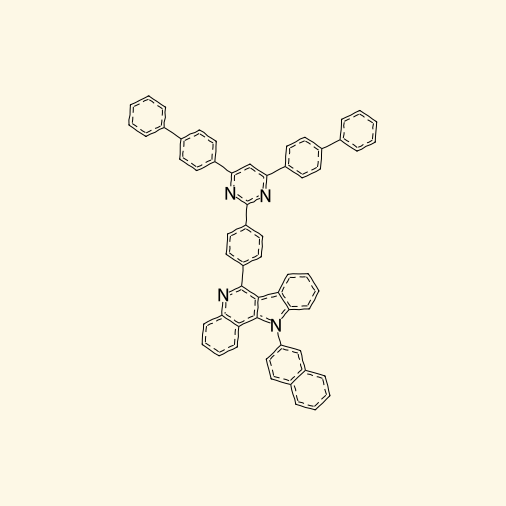 c1ccc(-c2ccc(-c3cc(-c4ccc(-c5ccccc5)cc4)nc(-c4ccc(-c5nc6ccccc6c6c5c5ccccc5n6-c5ccc6ccccc6c5)cc4)n3)cc2)cc1